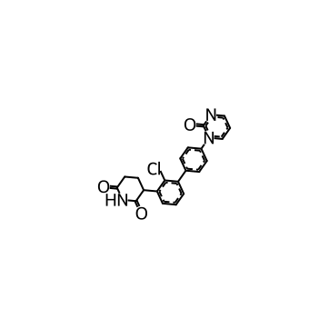 O=C1CCC(c2cccc(-c3ccc(-n4cccnc4=O)cc3)c2Cl)C(=O)N1